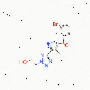 Cc1c(C(=O)c2cccc(Br)c2)c[nH]c1-c1nnn(CCO)n1